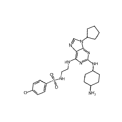 NC1CCC(Nc2nc(NCCNS(=O)(=O)c3ccc(Cl)cc3)c3ncn(C4CCCC4)c3n2)CC1